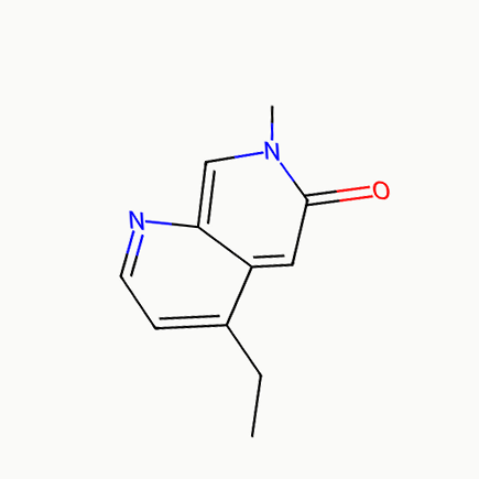 CCc1ccnc2cn(C)c(=O)cc12